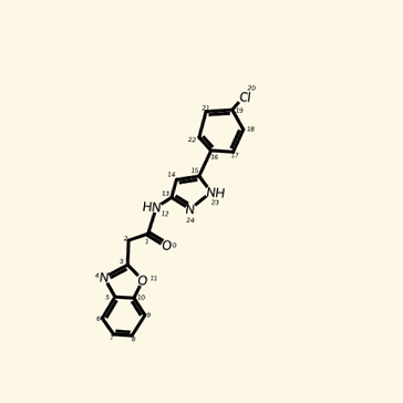 O=C(Cc1nc2ccccc2o1)Nc1cc(-c2ccc(Cl)cc2)[nH]n1